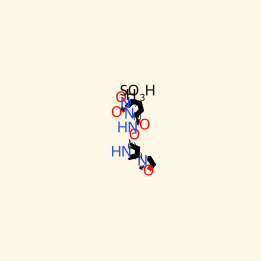 O=C(NOC[C@@H]1C[C@@H](N2CCOC2)CN1)[C@@H]1CC[C@@H]2CN1C(=O)N2OS(=O)(=O)O